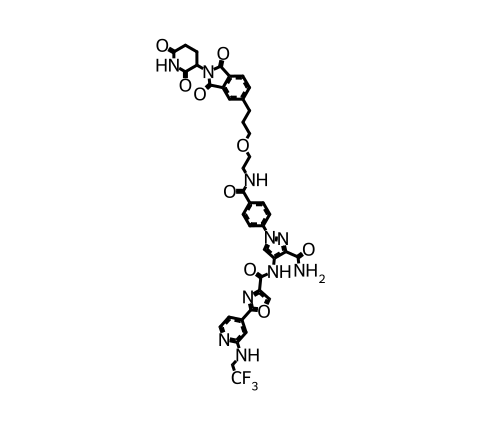 NC(=O)c1nn(-c2ccc(C(=O)NCCOCCCc3ccc4c(c3)C(=O)N(C3CCC(=O)NC3=O)C4=O)cc2)cc1NC(=O)c1coc(-c2ccnc(NCC(F)(F)F)c2)n1